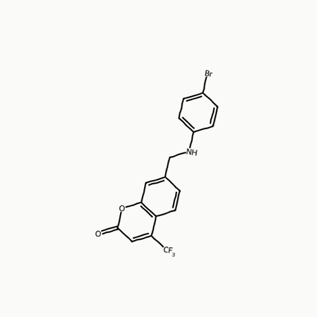 O=c1cc(C(F)(F)F)c2ccc(CNc3ccc(Br)cc3)cc2o1